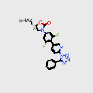 CC(=O)NC[C@H]1CN(c2cc(F)c(-c3ccc(-n4nnnc4-c4ccccc4)nc3)c(F)c2)C(=O)O1